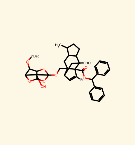 CCCCCCCCCCOC1C2OC3(OCC45CC6C(C)CCC6C6(C=O)CC4C=C(C(C)C)C65C(=O)OC(c4ccccc4)c4ccccc4)OC2OC1C3O